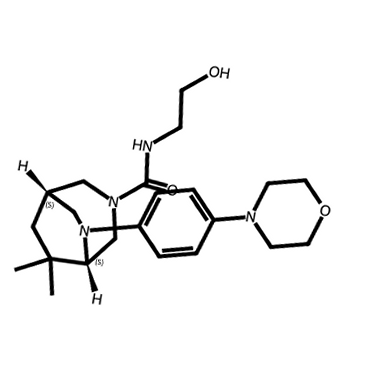 CC1(C)C[C@@H]2CN(C(=O)NCCO)C[C@H]1N(c1ccc(N3CCOCC3)cc1)C2